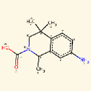 CC1c2cc(N)ccc2C(C)(C)CN1C(=O)O